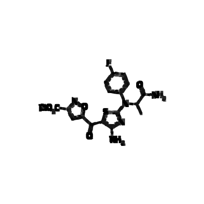 CCOC(=O)c1cc(C(=O)c2sc(N(c3ccc(F)cc3)C(C)C(N)=O)nc2N)on1